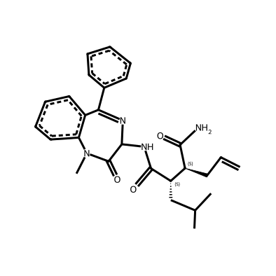 C=CC[C@H](C(N)=O)[C@H](CC(C)C)C(=O)NC1N=C(c2ccccc2)c2ccccc2N(C)C1=O